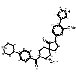 COc1cc(N2CCC3(CCN(C(=O)c4ccc(N5CCNCC5)cc4)CC3)C2=O)ccc1-c1cn[nH]c1.Cl.Cl